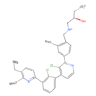 CNCc1ccc(-c2cccc(-c3ccnc(-c4ccc(CNC[C@H](O)CC(=O)O)c(OC)c4)c3Cl)c2Cl)nc1OC